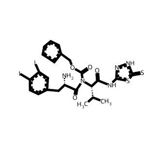 CC(C)[C@@H](C(=O)Nc1n[nH]c(=S)s1)N(C(=O)OCc1ccccc1)C(=O)[C@@H](N)Cc1ccc(I)c(I)c1